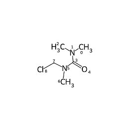 CN(C)C(=O)N(C)CCl